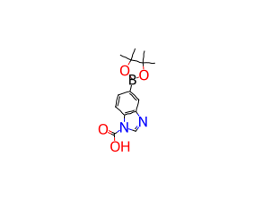 CC1(C)OB(c2ccc3c(c2)ncn3C(=O)O)OC1(C)C